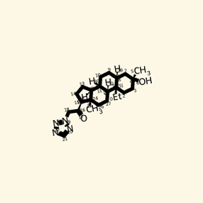 CC[C@]12CC[C@@](C)(O)C[C@@H]1CC[C@H]1[C@@H]3CC[C@H](C(=O)Cn4ncnn4)[C@@]3(C)CC[C@@H]12